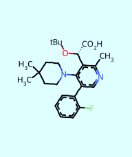 Cc1ncc(-c2ccccc2F)c(N2CCC(C)(C)CC2)c1[C@H](OC(C)(C)C)C(=O)O